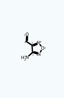 Nc1nonc1C=O